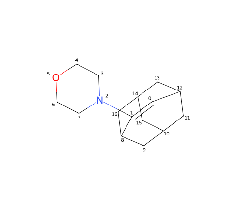 C1=C(N2CCOCC2)C2CC3CC1CC(C3)C2